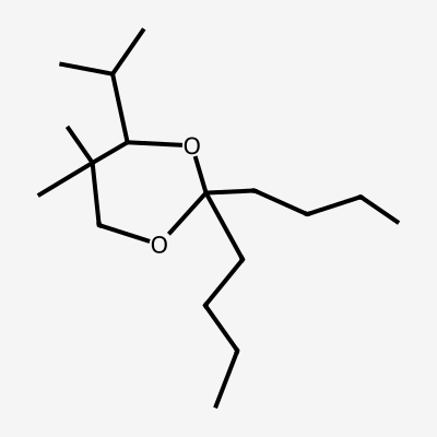 CCCCC1(CCCC)OCC(C)(C)C(C(C)C)O1